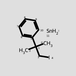 CC(C)(CI)c1ccccc1.[SnH2]